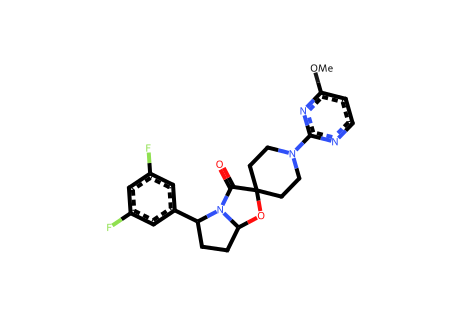 COc1ccnc(N2CCC3(CC2)OC2CCC(c4cc(F)cc(F)c4)N2C3=O)n1